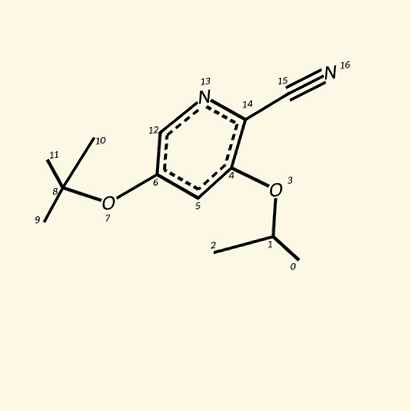 CC(C)Oc1cc(OC(C)(C)C)cnc1C#N